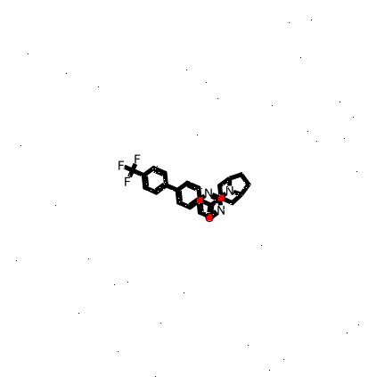 O=C(c1ccc(-c2ccc(C(F)(F)F)cc2)cc1)C1CC2CCC(C1)N2c1ncccn1